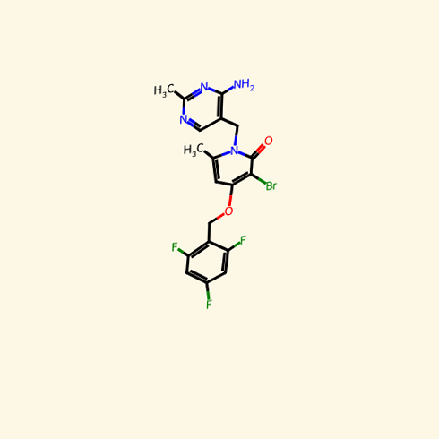 Cc1ncc(Cn2c(C)cc(OCc3c(F)cc(F)cc3F)c(Br)c2=O)c(N)n1